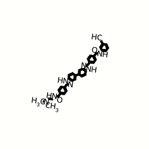 C#Cc1cccc(NC(=O)c2ccc(-c3nc4cc(-c5ccc6[nH]c(-c7ccc(C(=O)NCCN(C)C)cc7)nc6c5)ccc4[nH]3)cc2)c1